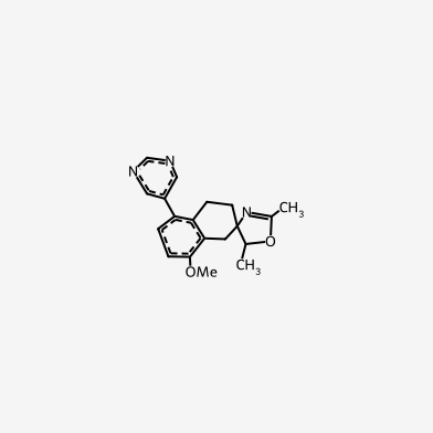 COc1ccc(-c2cncnc2)c2c1CC1(CC2)N=C(C)OC1C